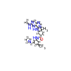 Cc1ccc(C(=O)Nc2cc(CN3CCCC3)cc(C(F)(F)F)c2)cc1Nc1ncnc2cnc(NC3CC3)nc12